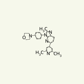 Cc1cc(-c2ccc3nc(C)n(-c4ccc(N5CCOCC5)cc4)c3n2)cc(C)n1